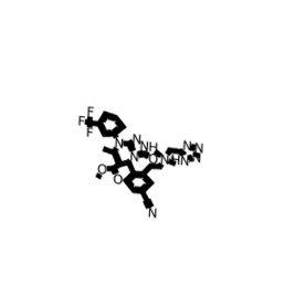 COC(=O)C1=C(C)N(c2cccc(C(F)(F)F)c2)c2n[nH]c(=O)n2C1c1ccc(C#N)cc1CC[N+](C)(C)Cc1nnn[nH]1